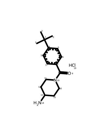 CC(C)(C)c1ccc(C(=O)N2CCC(N)CC2)cc1.Cl